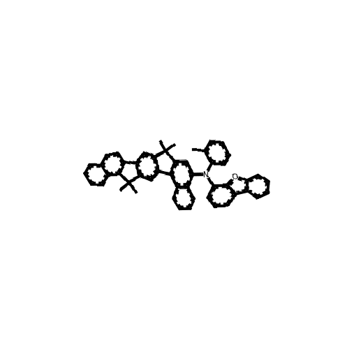 Cc1ccccc1N(c1cc2c(c3ccccc13)-c1cc3c(cc1C2(C)C)-c1ccc2ccccc2c1C3(C)C)c1cccc2c1oc1ccccc12